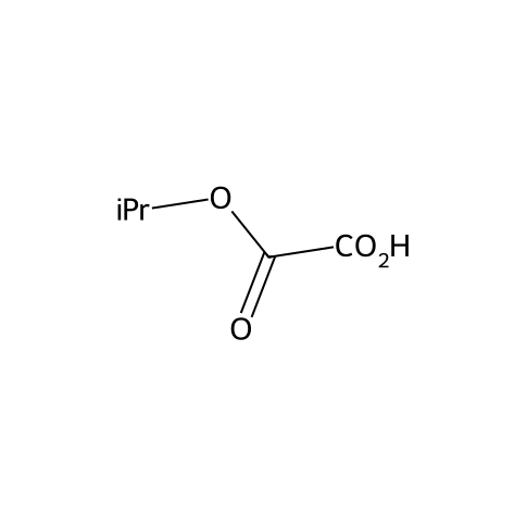 CC(C)OC(=O)C(=O)O